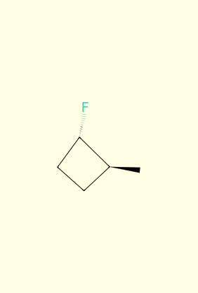 C[C@H]1CC[C@@H]1F